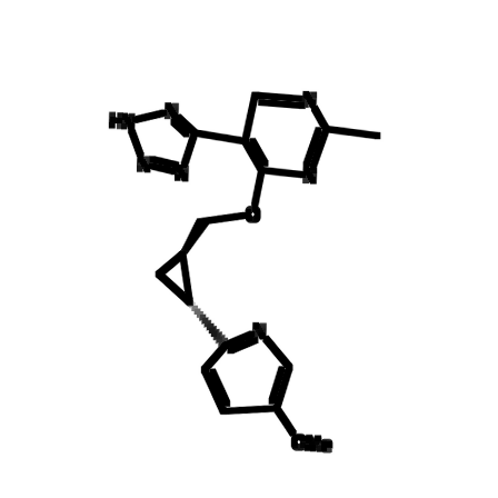 COc1ccc([C@@H]2C[C@H]2COc2nc(C)ncc2-c2nn[nH]n2)nc1